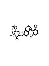 COc1cccc(OC)c1N1C=CCc2cc(CC(NC(=O)OC(C)(C)C)C(=O)O)ccc21